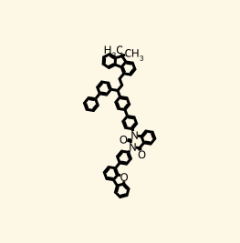 CC1(C)c2ccccc2-c2c(CCC(c3ccc(-c4ccc(-n5c(=O)n(-c6ccc(-c7cccc8c7oc7ccccc78)cc6)c(=O)c6ccccc65)cc4)cc3)c3cccc(-c4ccccc4)c3)cccc21